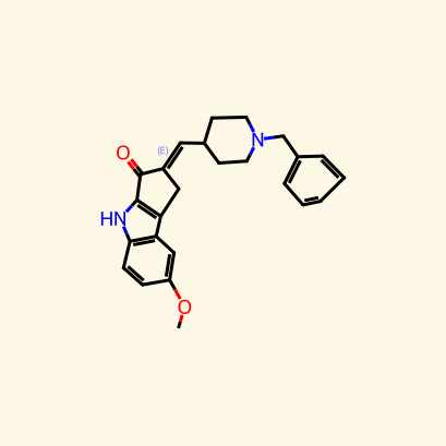 COc1ccc2[nH]c3c(c2c1)C/C(=C\C1CCN(Cc2ccccc2)CC1)C3=O